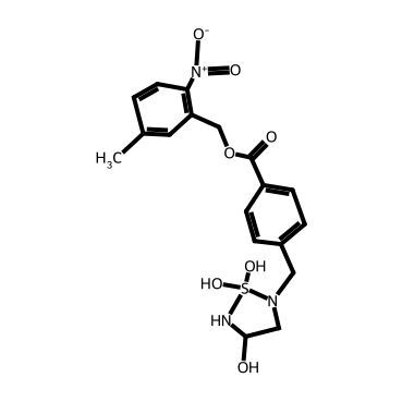 Cc1ccc([N+](=O)[O-])c(COC(=O)c2ccc(CN3CC(O)NS3(O)O)cc2)c1